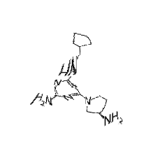 Nc1nc(NCC2CCCC2)cc(N2CC[C@@H](N)C2)n1